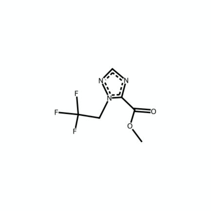 COC(=O)c1ncnn1CC(F)(F)F